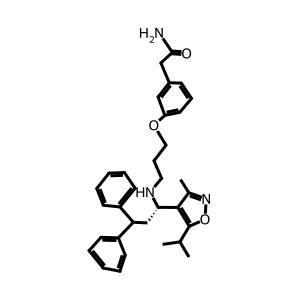 Cc1noc(C(C)C)c1[C@H](CC(c1ccccc1)c1ccccc1)NCCCOc1cccc(CC(N)=O)c1